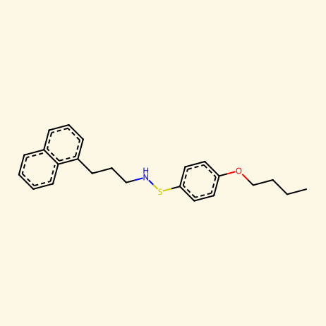 CCCCOc1ccc(SNCCCc2cccc3ccccc23)cc1